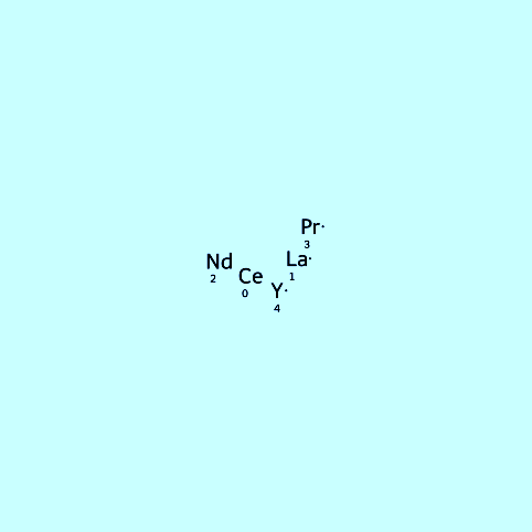 [Ce].[La].[Nd].[Pr].[Y]